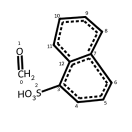 C=O.O=S(=O)(O)c1cccc2ccccc12